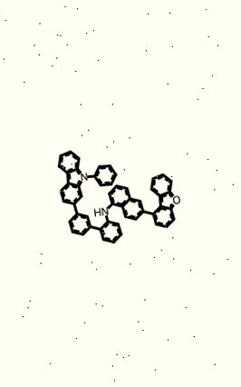 c1ccc(-n2c3ccccc3c3ccc(-c4cccc(-c5ccccc5Nc5cccc6cc(-c7cccc8oc9ccccc9c78)ccc56)c4)cc32)cc1